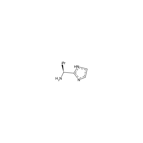 CC(C)[C@H](N)c1ncc[nH]1